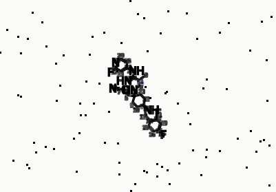 C/C(=C/NC1(COC#N)CCC(NCc2ccc(F)cc2F)CC1)C(=N)Nc1ccnc(F)c1